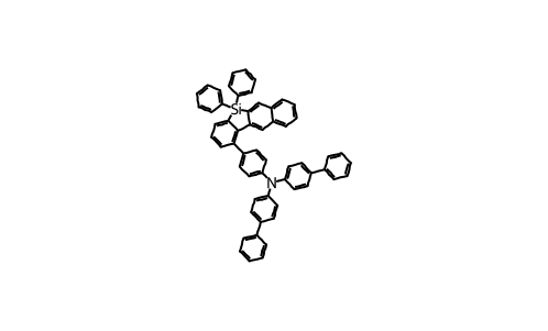 c1ccc(-c2ccc(N(c3ccc(-c4ccccc4)cc3)c3ccc(-c4cccc5c4-c4cc6ccccc6cc4[Si]5(c4ccccc4)c4ccccc4)cc3)cc2)cc1